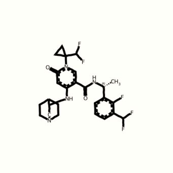 C[C@@H](NC(=O)c1cn(C2(C(F)F)CC2)c(=O)cc1NC1CN2CCC1CC2)c1cccc(C(F)F)c1F